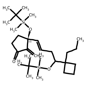 C=C1C(=O)CC[C@@]1(C=CCC(O[Si](C)(C)C(C)(C)C)C1(CCC)CCC1)O[Si](C)(C)C(C)(C)C